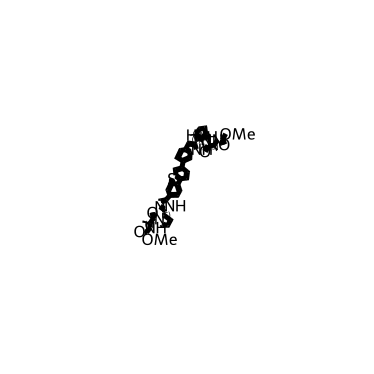 COC(=O)N[C@@H](C)C(=O)N1CCC[C@H]1c1ncc(-c2ccc3c(c2)sc2cc(-c4ccc5cc([C@@H]6[C@H]7CC[C@H](C7)N6C(=O)[C@H](C)NC(=O)OC)[nH]c5c4)ccc23)[nH]1